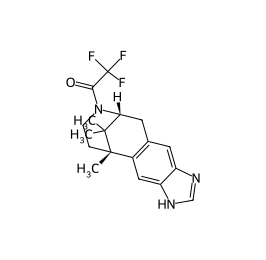 CC1(C)[C@H]2Cc3cc4nc[nH]c4cc3[C@]1(C)CCN2C(=O)C(F)(F)F